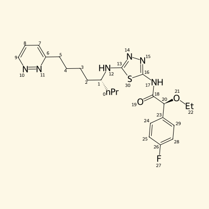 CCC[C@H](CCCCc1cccnn1)Nc1nnc(NC(=O)[C@@H](OCC)c2ccc(F)cc2)s1